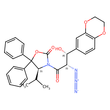 CC(C)[C@@H]1N(C(=O)[C@@H](N=[N+]=[N-])[C@H](O)c2ccc3c(c2)OCCO3)C(=O)OC1(c1ccccc1)c1ccccc1